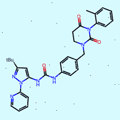 Cc1ccccc1N1C(=O)CCN(Cc2ccc(NC(=O)Nc3cc(C(C)(C)C)nn3-c3ccccn3)cc2)C1=O